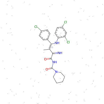 C/C(C(=N)C(=O)NC(=O)N1CCCCC1)=C(/Nc1ccc(Cl)cc1Cl)c1ccc(Cl)cc1